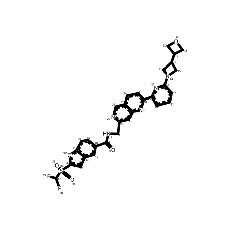 O=C(NCc1cc2nc(-c3cccc(N4CC(C5COC5)C4)n3)ccc2cn1)c1ccc2oc(S(=O)(=O)C(F)F)cc2c1